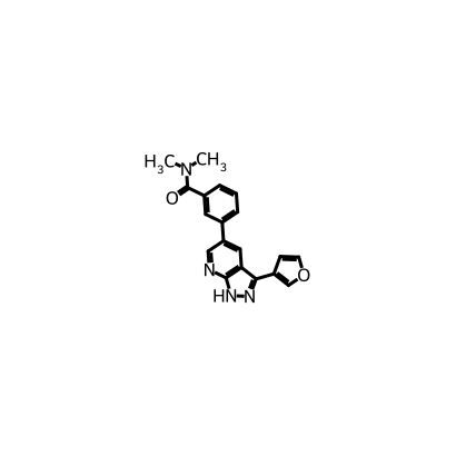 CN(C)C(=O)c1cccc(-c2cnc3[nH]nc(-c4ccoc4)c3c2)c1